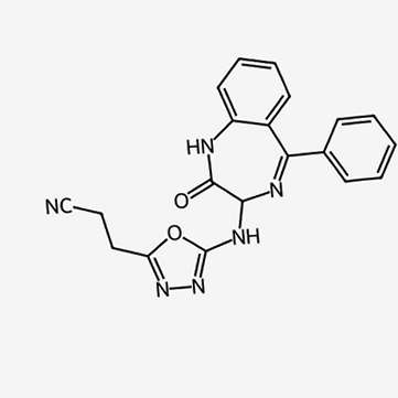 N#CCCc1nnc(NC2N=C(c3ccccc3)c3ccccc3NC2=O)o1